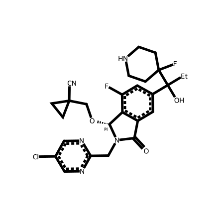 CCC(O)(c1cc(F)c2c(c1)C(=O)N(Cc1ncc(Cl)cn1)[C@@H]2OCC1(C#N)CC1)C1(F)CCNCC1